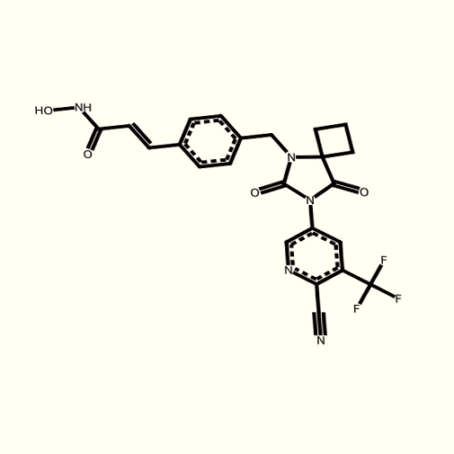 N#Cc1ncc(N2C(=O)N(Cc3ccc(/C=C/C(=O)NO)cc3)C3(CCC3)C2=O)cc1C(F)(F)F